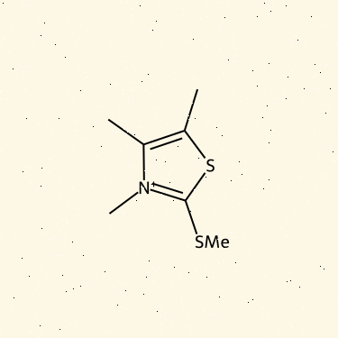 CSc1sc(C)c(C)[n+]1C